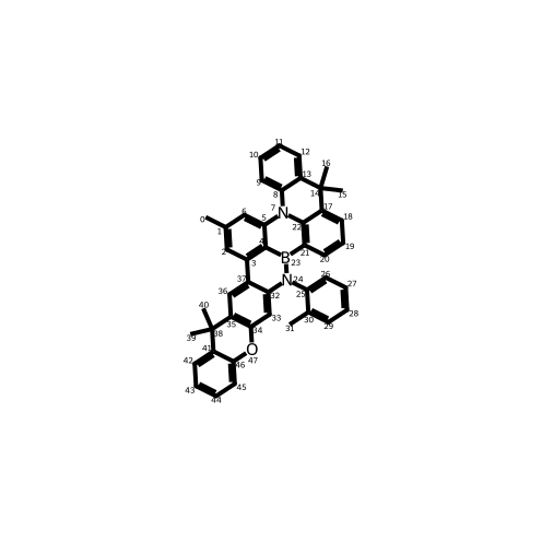 Cc1cc2c3c(c1)N1c4ccccc4C(C)(C)c4cccc(c41)B3N(c1ccccc1C)c1cc3c(cc1-2)C(C)(C)c1ccccc1O3